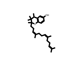 CC(C)=CCCC(C)=CCCC(C)=CCCC1(C)Oc2ccc(O)cc2C(C)C1(C)C